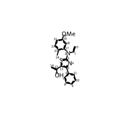 C=CN(c1nc(-c2ccccc2)c(C(=C)O)s1)c1cc(OC)ccc1C